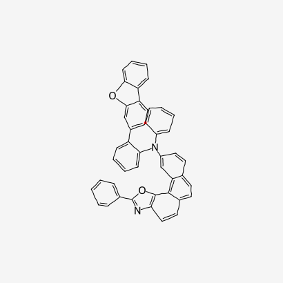 c1ccc(-c2nc3ccc4ccc5ccc(N(c6ccccc6)c6ccccc6-c6ccc7c(c6)oc6ccccc67)cc5c4c3o2)cc1